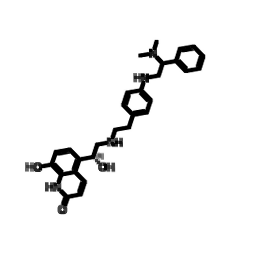 CN(C)C(CNc1ccc(CCNC[C@H](O)c2ccc(O)c3[nH]c(=O)ccc23)cc1)c1ccccc1